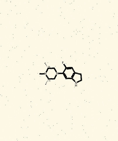 C[C@@H]1CN(c2cc3c(cc2F)CCN3)C[C@H](C)N1C